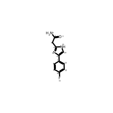 NC(=O)Cc1nc(-c2ccc(F)cc2)c[nH]1